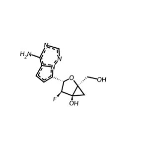 Nc1ncnn2c([C@@H]3O[C@@]4(CO)C[C@]4(O)[C@H]3F)ccc12